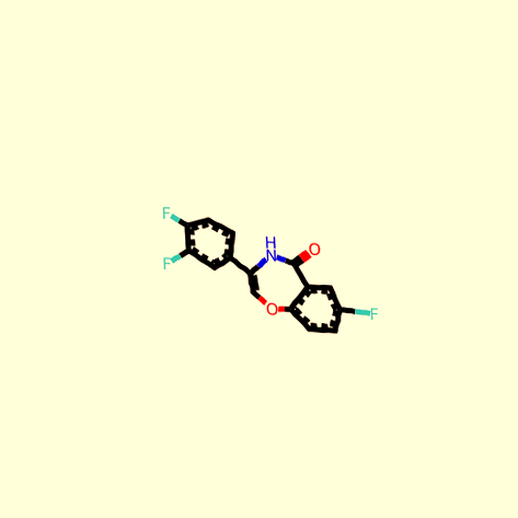 O=C1NC(c2ccc(F)c(F)c2)=COc2ccc(F)cc21